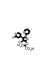 C[C@@H](Oc1nn(-c2ccccn2)c(-c2ccnc(F)c2)c1Cl)C(=O)O